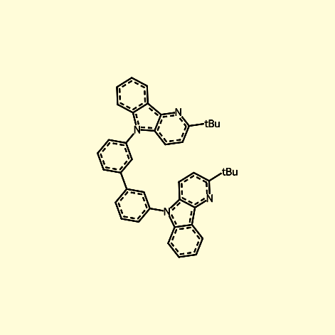 CC(C)(C)c1ccc2c(n1)c1ccccc1n2-c1cccc(-c2cccc(-n3c4ccccc4c4nc(C(C)(C)C)ccc43)c2)c1